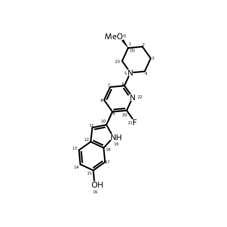 CO[C@H]1CCCN(c2ccc(-c3cc4ccc(O)cc4[nH]3)c(F)n2)C1